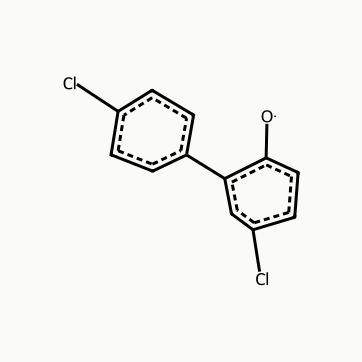 [O]c1ccc(Cl)cc1-c1ccc(Cl)cc1